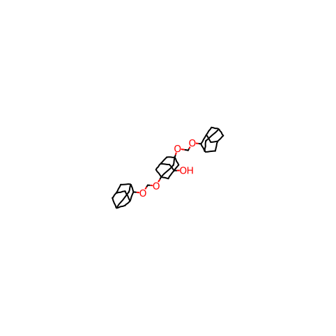 OC12CC3CC(OCOC4C5CC6CC(C5)CC4C6)(C1)CC(OCOC1C4CC5CC(C4)CC1C5)(C3)C2